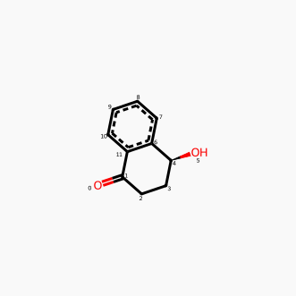 O=C1CC[C@H](O)c2ccccc21